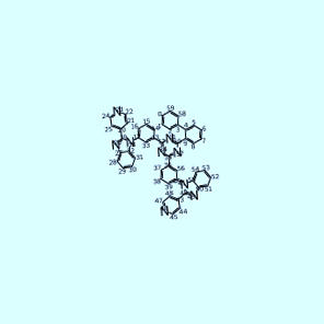 c1ccc(-c2ccccc2-c2nc(-c3cccc(-n4c(-c5ccncc5)nc5ccccc54)c3)nc(-c3cccc(-n4c(-c5ccncc5)nc5ccccc54)c3)n2)cc1